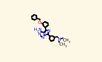 CCN(CC)Cc1cccc(-c2nc(-c3cccc(OCc4ccccc4)c3)c3c(N)ncnn23)c1